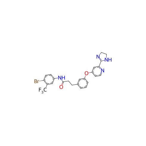 O=C(CCc1cccc(Oc2ccnc(C3=NCCN3)c2)c1)Nc1ccc(Br)c(C(F)(F)F)c1